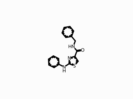 O=C(NCc1ccccc1)c1csc(Nc2ccccc2)n1